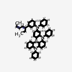 C=C/C(=C\C=C/C)c1cccc(N(c2ccccc2)c2ccc3c(c2)N(c2ccccc2)c2cccc4c2B3c2ccccc2N4c2ccccc2)c1